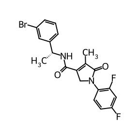 CC1=C(C(=O)N[C@H](C)c2cccc(Br)c2)CN(c2ccc(F)cc2F)C1=O